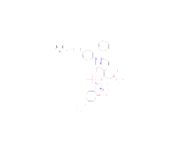 COc1ccc(-n2c3c(c4oc(=O)c(Sc5nc6ccc(Cl)cc6o5)c(O)c4c2=O)CCc2ccccc2-3)cc1